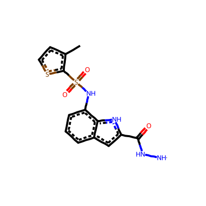 Cc1ccsc1S(=O)(=O)Nc1cccc2cc(C(=O)N[NH])[nH]c12